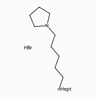 Br.CCCCCCCCCCCCN1CCCC1